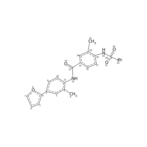 Cc1cc(-c2ccco2)ccc1NC(=O)c1ccc(NS(=O)(=O)C(C)C)c(C)c1